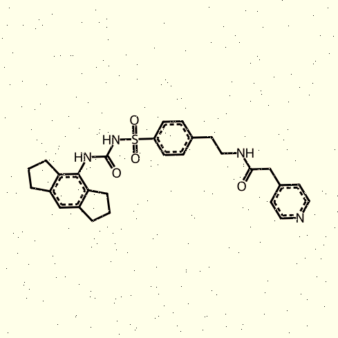 O=C(Cc1ccncc1)NCCc1ccc(S(=O)(=O)NC(=O)Nc2c3c(cc4c2CCC4)CCC3)cc1